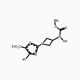 CCCN(C(=O)OC(C)(C)C)C1CN(c2nc(C(C)C)c(C(=O)OCC)s2)C1